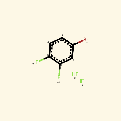 F.F.Fc1ccc(Br)cc1F